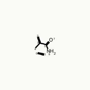 C=C.C=C(C)C(N)=O